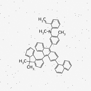 C=Cc1ccccc1N(C)c1cc(-c2c3ccccc3c(-c3cccc4c3-c3ccccc3C4(C)C)c3cc(-c4cccc5ccccc45)ccc23)ccc1C